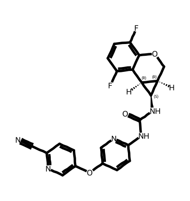 N#Cc1ccc(Oc2ccc(NC(=O)N[C@@H]3[C@@H]4COc5c(F)ccc(F)c5[C@@H]43)nc2)cn1